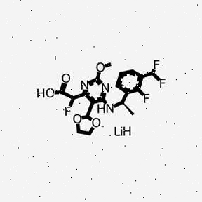 COc1nc(N[C@H](C)c2cccc(C(F)F)c2F)c(C2OCCO2)c(C(F)C(=O)O)n1.[LiH]